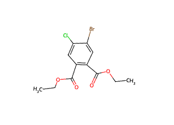 CCOC(=O)c1cc(Cl)c(Br)cc1C(=O)OCC